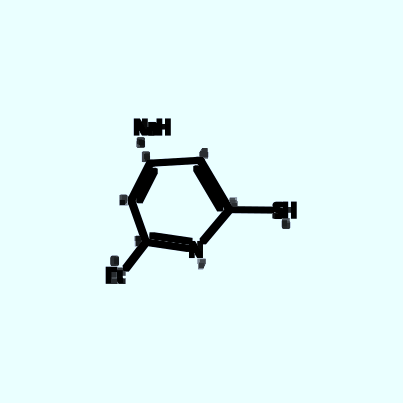 CCc1cccc(S)n1.[NaH]